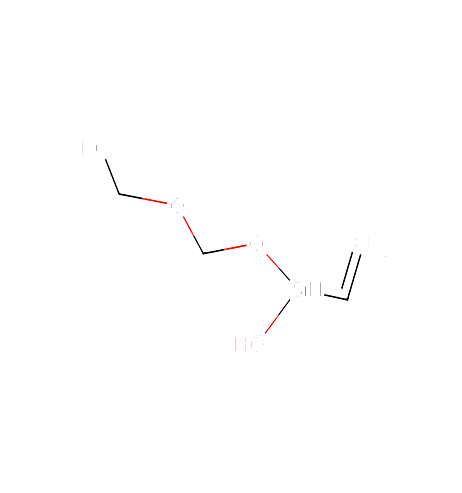 C=C[SiH](O)OCOCC